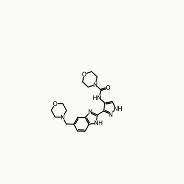 O=C(Nc1c[nH]nc1-c1nc2cc(CN3CCOCC3)ccc2[nH]1)N1CCOCC1